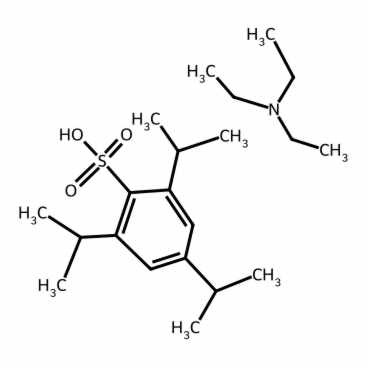 CC(C)c1cc(C(C)C)c(S(=O)(=O)O)c(C(C)C)c1.CCN(CC)CC